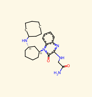 NC(=O)CNc1nc2ccccc2n([C@H]2CCCC[C@H](NC3CCCCCCC3)C2)c1=O